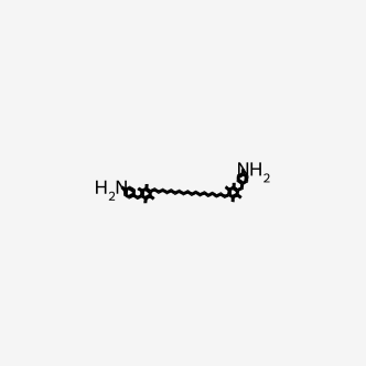 Cc1c(C)c(Cc2ccc(N)cc2)c(C)c(C)c1CCCCCCCCCCCCCCCCCCc1c(C)c(C)c(Cc2ccc(N)cc2)c(C)c1C